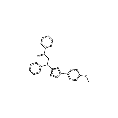 COc1ccc(-c2cnn(C(CC(=O)c3ccccc3)c3ccccc3)n2)cc1